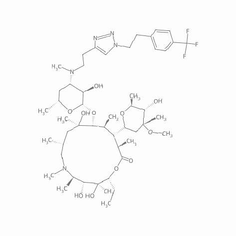 CC[C@H]1OC(=O)[C@H](C)[C@@H](C2C[C@@](C)(OC)[C@@H](O)[C@H](C)O2)[C@H](C)[C@@H](O[C@@H]2O[C@H](C)C[C@H](N(C)CCc3cn(CCc4ccc(C(F)(F)F)cc4)nn3)[C@H]2O)[C@](C)(O)C[C@@H](C)CN(C)[C@H](C)[C@@H](O)[C@]1(C)O